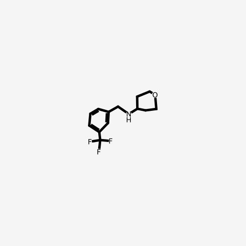 FC(F)(F)c1cccc(CNC2CCOCC2)c1